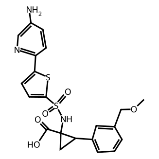 COCc1cccc(C2CC2(NS(=O)(=O)c2ccc(-c3ccc(N)cn3)s2)C(=O)O)c1